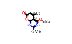 CCCCOc1nc(SC)nc2oc(=O)cc(CC)c12